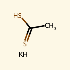 CC(=S)S.[KH]